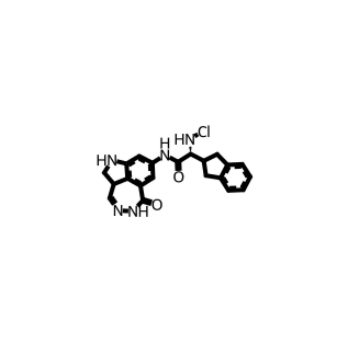 O=C1NN=CC2CNc3cc(NC(=O)[C@H](NCl)C4Cc5ccccc5C4)cc1c32